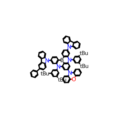 CC(C)(C)c1cc(N2c3cc(-n4c5ccccc5c5ccccc54)ccc3B3c4ccc(-n5c6ccccc6c6cc(-c7ccccc7)ccc65)cc4N(c4cc(C(C)(C)C)cc(C(C)(C)C)c4)c4cc(N5c6ccccc6Oc6ccccc65)cc2c43)cc(C(C)(C)C)c1